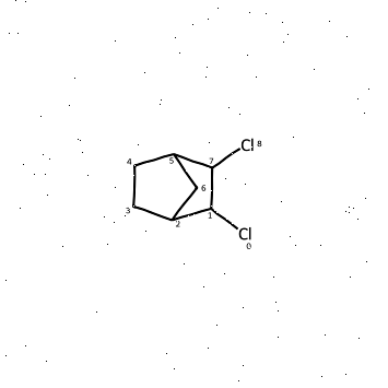 ClC1C2CCC(C2)C1Cl